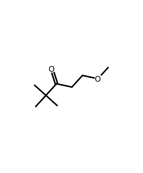 COCCC(=O)C(C)(C)C